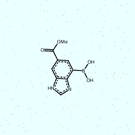 COC(=O)c1cc(B(O)O)c2nc[nH]c2c1